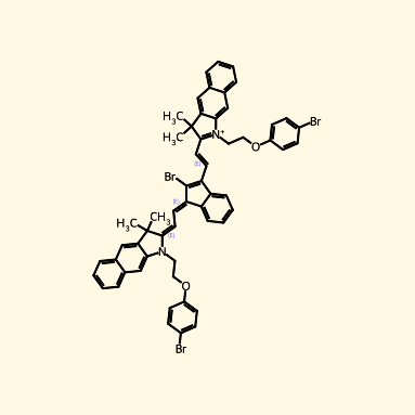 CC1(C)C(/C=C/C2=C(Br)C(=C/C=C3/N(CCOc4ccc(Br)cc4)c4cc5ccccc5cc4C3(C)C)/c3ccccc32)=[N+](CCOc2ccc(Br)cc2)c2cc3ccccc3cc21